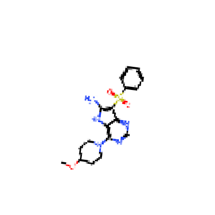 COC1CCN(c2ncnc3c(S(=O)(=O)c4ccccc4)c(N)[nH]c23)CC1